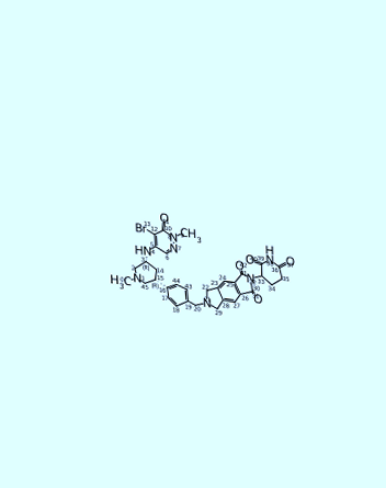 CN1C[C@H](Nc2cnn(C)c(=O)c2Br)C[C@H](c2ccc(CN3Cc4cc5c(cc4C3)C(=O)N(C3CCC(=O)NC3=O)C5=O)cc2)C1